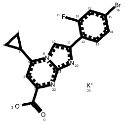 O=C([O-])c1cc(C2CC2)n2cc(-c3ccc(Br)cc3F)nc2n1.[K+]